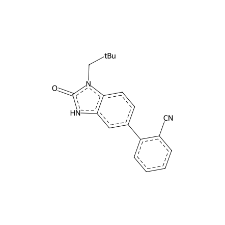 CC(C)(C)Cn1c(=O)[nH]c2cc(-c3ccccc3C#N)ccc21